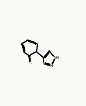 O=C1C=CC=CC1c1c[nH]nn1